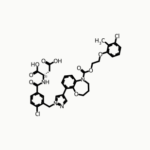 Cc1c(Cl)cccc1OCCOC(=O)N1CCCOc2c(-c3cnn(Cc4cc(C(=O)N[C@@H](CC(=O)O)C(=O)O)ccc4Cl)c3)cccc21